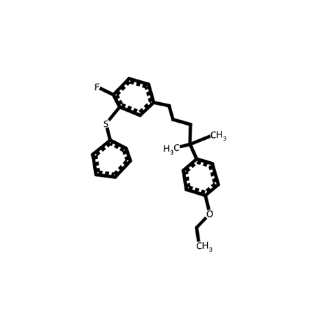 CCOc1ccc(C(C)(C)CCCc2ccc(F)c(Sc3ccccc3)c2)cc1